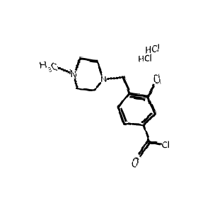 CN1CCN(Cc2ccc(C(=O)Cl)cc2Cl)CC1.Cl.Cl